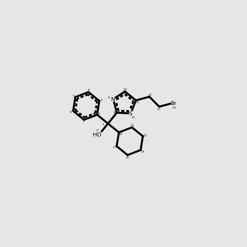 OC(c1ccccc1)(c1ncc(CCBr)s1)C1CCCCC1